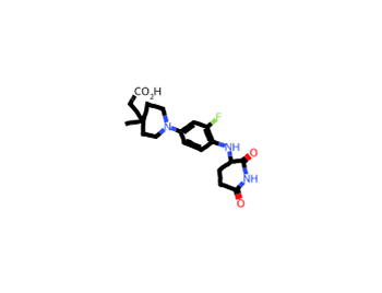 CC1(CC(=O)O)CCN(c2ccc(NC3CCC(=O)NC3=O)c(F)c2)CC1